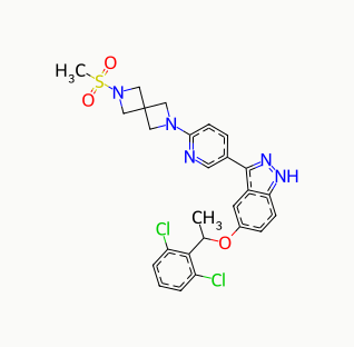 CC(Oc1ccc2[nH]nc(-c3ccc(N4CC5(C4)CN(S(C)(=O)=O)C5)nc3)c2c1)c1c(Cl)cccc1Cl